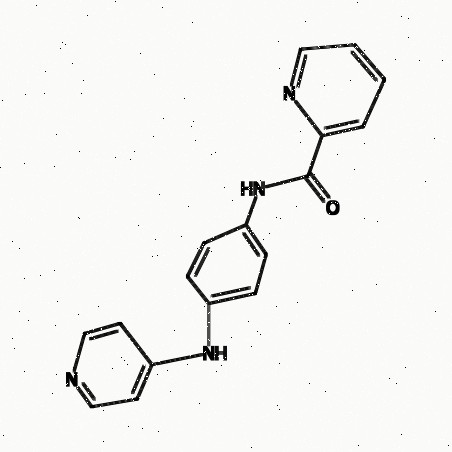 O=C(Nc1ccc(Nc2ccncc2)cc1)c1ccccn1